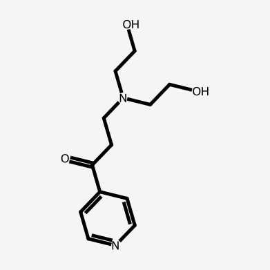 O=C(CCN(CCO)CCO)c1ccncc1